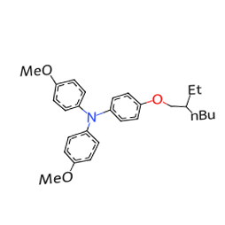 CCCCC(CC)COc1ccc(N(c2ccc(OC)cc2)c2ccc(OC)cc2)cc1